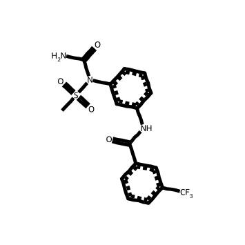 CS(=O)(=O)N(C(N)=O)c1cccc(NC(=O)c2cccc(C(F)(F)F)c2)c1